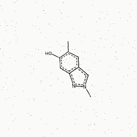 Cc1cc2cn(C)nc2cc1O